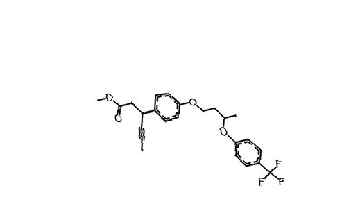 CC#CC(CC(=O)OC)c1ccc(OCCC(C)Oc2ccc(C(F)(F)F)cc2)cc1